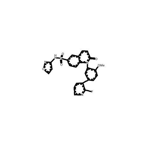 COc1ccc(-c2cccnc2F)cc1-n1c(=O)ccc2cc(S(=O)(=O)Nc3ccon3)ccc21